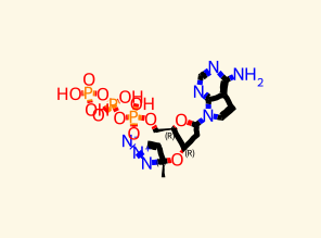 C=C[C@@](C)(N=[N+]=[N-])O[C@@H]1CC(n2ccc3c(N)ncnc32)O[C@@H]1COP(=O)(O)OP(=O)(O)OP(=O)(O)O